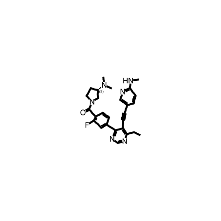 CCc1ncnc(-c2ccc(C(=O)N3CC[C@H](N(C)C)C3)c(F)c2)c1C#Cc1ccc(NC)nc1